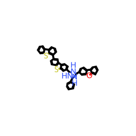 c1ccc(C2NC(c3ccc4c(c3)oc3ccccc34)NC(c3ccc4c(c3)sc3ccc(-c5cccc6c5sc5ccccc56)cc34)N2)cc1